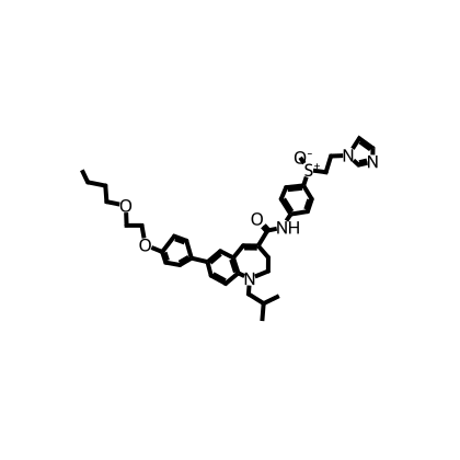 CCCCOCCOc1ccc(-c2ccc3c(c2)C=C(C(=O)Nc2ccc([S+]([O-])CCn4ccnc4)cc2)CCN3CC(C)C)cc1